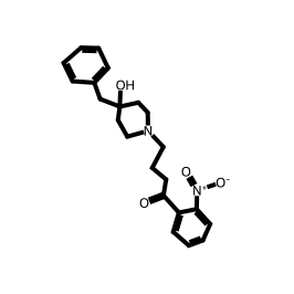 O=C(CCCN1CCC(O)(Cc2ccccc2)CC1)c1ccccc1[N+](=O)[O-]